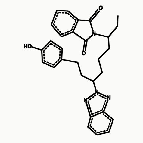 CCC(CCCC(CCc1ccc(O)cc1)n1nc2ccccc2n1)N1C(=O)c2ccccc2C1=O